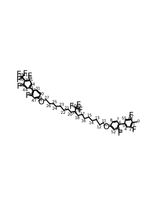 Cc1c(F)cc(-c2ccc(OCCCCCCCCC(CCCCCCCCOc3ccc(-c4cc(F)c(C(F)(F)F)c(F)c4)c(F)c3)C(F)(F)F)cc2F)cc1F